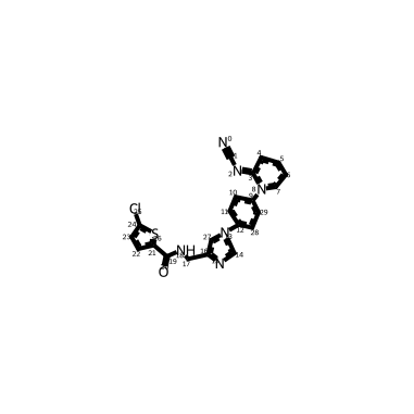 N#C/N=c1\ccccn1-c1ccc(-n2cnc(CNC(=O)c3ccc(Cl)s3)c2)cc1